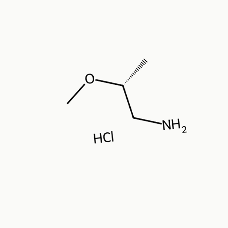 CO[C@H](C)CN.Cl